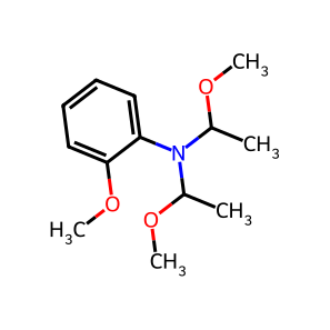 COc1ccccc1N(C(C)OC)C(C)OC